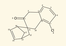 O=C1Cc2cccc(Cl)c2CC12CC1C=CC2C1